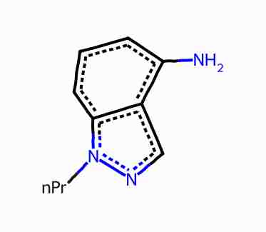 CCCn1ncc2c(N)cccc21